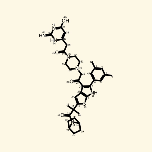 Cc1cc(C)cc(-c2[nH]c3sc(C(C)(C)C(=O)N4C5CCC4CC5)cc3c2C(=O)CN2CCN(C(=O)Cc3cc(O)nc(=N)[nH]3)CC2)c1